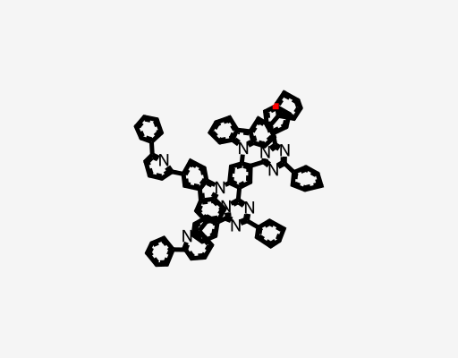 c1ccc(-c2ccc3c(c2)c2ccccc2n3-c2cc(-n3c4ccc(-c5cccc(-c6ccccc6)n5)cc4c4cc(-c5cccc(-c6ccccc6)n5)ccc43)c(-c3nc(-c4ccccc4)nc(-c4ccccc4)n3)cc2-c2nc(-c3ccccc3)nc(-c3ccccc3)n2)cc1